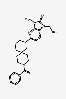 Cn1c(=O)n(CC(C)(C)C)c2ccc(N3CCCC4(CCN(C(=O)c5ccccc5)CC4)C3)nc21